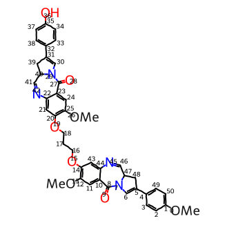 COc1ccc(C2=CN3C(=O)c4cc(OC)c(OCCCOc5cc6c(cc5OC)C(=O)N5C=C(c7ccc(O)cc7)CC5C=N6)cc4N=CC3C2)cc1